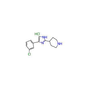 Cl.Clc1cccc(-c2c[nH]c(C3CCNCC3)n2)c1